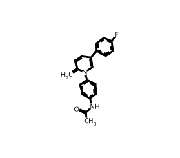 C=C1C=CC(c2ccc(F)cc2)=CN1c1ccc(NC(C)=O)cc1